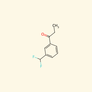 CCC(=O)c1cccc(C(F)F)c1